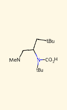 CNCC(CC(C)(C)C)N(C(=O)O)C(C)(C)C